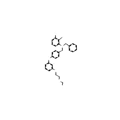 Cc1c(N(Cc2ccccc2)Cc2ccc(Oc3cccc(OCCOCC(=O)O)c3)cc2)cccc1[N+](=O)[O-]